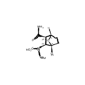 CC(C)(C)N(C(=O)O)[C@H]1[C@@H](C(N)=O)[C@@H]2CC[C@H]1O2